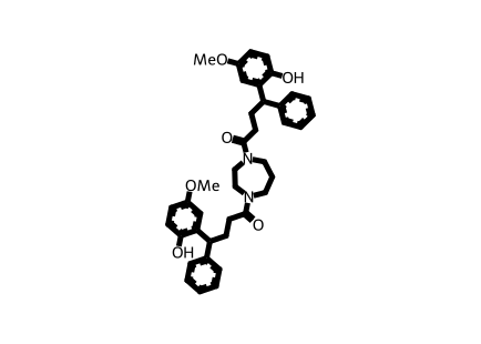 COc1ccc(O)c(C(CCC(=O)N2CCCN(C(=O)CCC(c3ccccc3)c3cc(OC)ccc3O)CC2)c2ccccc2)c1